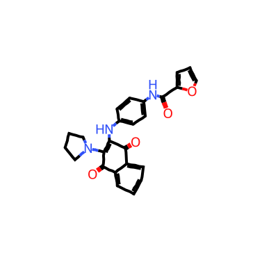 O=C(Nc1ccc(NC2=C(N3CCCC3)C(=O)c3ccccc3C2=O)cc1)c1ccco1